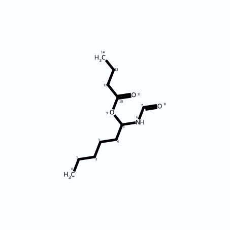 CCCCCC(NC=O)OC(=O)CCC